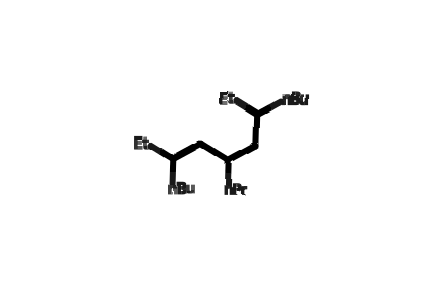 CCCCC(CC)CC(CCC)CC(CC)CCCC